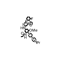 C=CC(=O)Nc1cc(Nc2cc(N3OCC[C@H]3c3c(F)cccc3F)ncn2)cc(OC)c1N1CCC(N2CCN(C(C)C)CC2)CC1